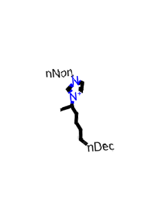 CCCCCCCCCCCCCCC(C)[n+]1ccn(CCCCCCCCC)c1